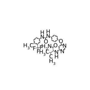 Cc1ccc(NC(=O)Nc2ccc(Oc3cc(N[C@H](C(N)=O)C(C)C)ncn3)cc2)cc1C(F)(F)F